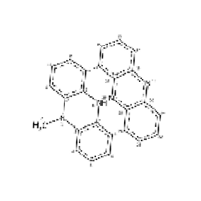 CN1c2ccccc2Nc2ccccc21.c1ccc2nc3ccccc3nc2c1